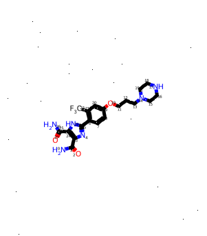 NC(=O)c1nc(-c2ccc(OCCCN3CCNCC3)cc2C(F)(F)F)[nH]c1C(N)=O